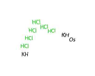 Cl.Cl.Cl.Cl.Cl.Cl.[KH].[KH].[Os]